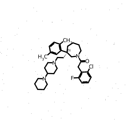 Cc1ccc(C)c([C@@]2(CCN3CCC(N4CCCCC4)CC3)CCCCN(C(=O)Cc3c(F)cccc3Cl)C2)c1